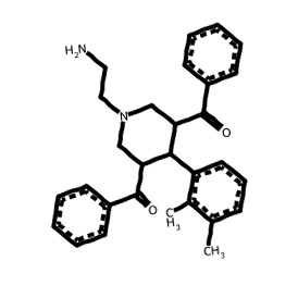 Cc1cccc(C2C(C(=O)c3ccccc3)CN(CCN)CC2C(=O)c2ccccc2)c1C